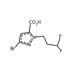 O=C(O)c1cc(Br)nn1CCC(F)F